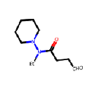 CCN(C(=O)CCC=O)N1CCCCC1